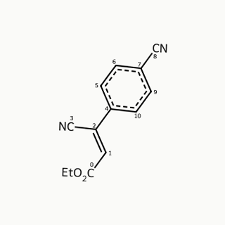 CCOC(=O)C=C(C#N)c1ccc(C#N)cc1